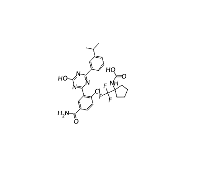 CC(C)c1cccc(-c2nc(O)nc(-c3cc(C(N)=O)ccc3Cl)n2)c1.O=C(O)NC1(C(F)(F)F)CCCC1